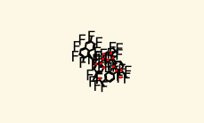 FC(F)(F)c1ccc(C(F)(F)F)c([B-](c2cc(C(F)(F)F)ccc2C(F)(F)F)(c2cc(C(F)(F)F)ccc2C(F)(F)F)c2cc(C(F)(F)F)ccc2C(F)(F)F)c1.[NH3+]c1c(F)c(F)c(F)c2c(F)c(F)c(F)c(F)c12